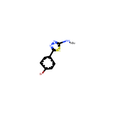 CCCCNc1nnc(-c2ccc(Br)cc2)s1